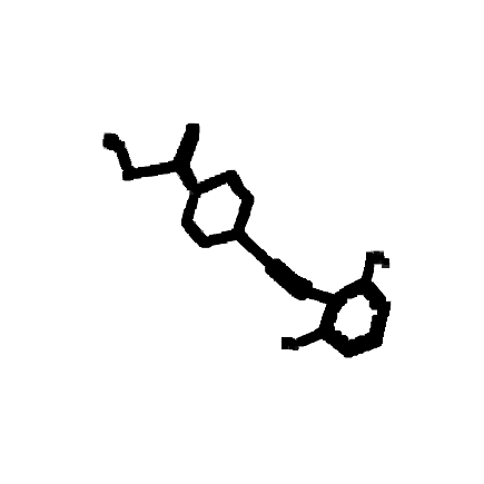 CC(C)(C)OC(=O)N1CCC(C#Cc2c(Br)ccnc2N)CC1